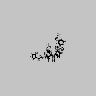 CCOc1cccc(S(=O)(=O)c2cnc(Nc3nc(C)nc(OCCC4CCCC4)c3F)s2)c1